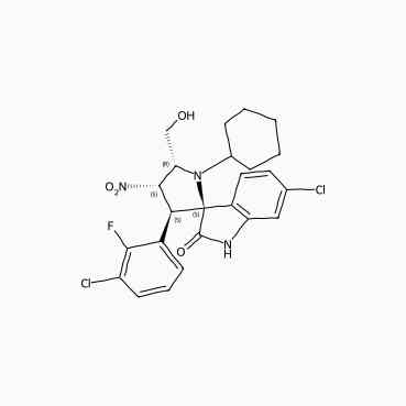 O=C1Nc2cc(Cl)ccc2[C@@]12[C@@H](c1cccc(Cl)c1F)[C@H]([N+](=O)[O-])[C@H](CO)N2C1CCCCC1